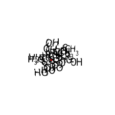 CC(C)(C)c1ccc(OCCO)c(Cc2cc(C(C)(C)C)cc(Cc3cc(C(C)(C)c4ccc(OCCO)cc4)cc(Cc4cc(C(C)(C)C)ccc4OCCO)c3OCCO)c2OCCO)c1